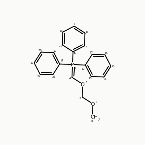 COCOC=P(c1ccccc1)(c1ccccc1)c1ccccc1